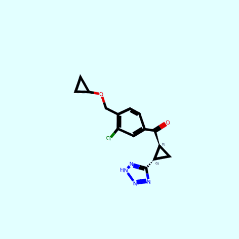 O=C(c1ccc(COC2CC2)c(Cl)c1)[C@H]1C[C@@H]1c1nn[nH]n1